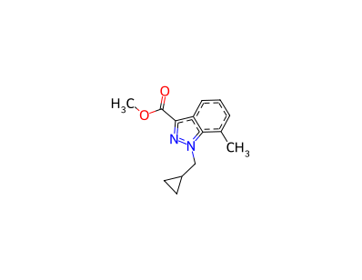 COC(=O)c1nn(CC2CC2)c2c(C)cccc12